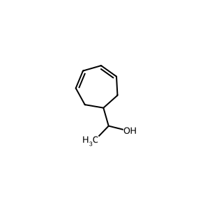 CC(O)C1CC=CC=CC1